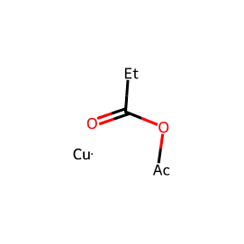 CCC(=O)OC(C)=O.[Cu]